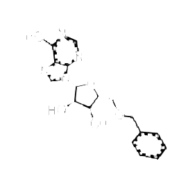 Oc1ncnc2c1ncn2[C@@H]1O[C@H](COCc2ccccc2)[C@@H](O)[C@H]1O